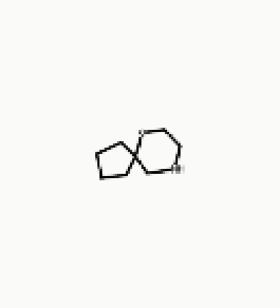 C1CCC2(C1)CNCCO2